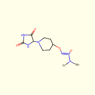 CCN(/[N+]([O-])=N/OC1CCN(C2NC(=O)NC2=O)CC1)C(C)(C)C